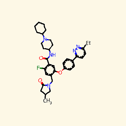 CCc1ccc(-c2ccc(Oc3cc(C(=O)NC4CCN(C5CCCCC5)CC4)c(F)cc3CN3CC(C)CC3=O)cc2)nn1